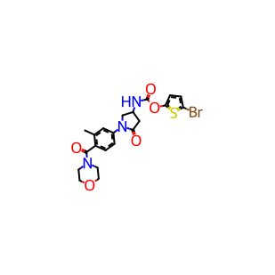 Cc1cc(N2CC(NC(=O)Oc3ccc(Br)s3)CC2=O)ccc1C(=O)N1CCOCC1